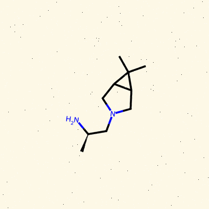 C[C@@H](N)CN1CC2C(C1)C2(C)C